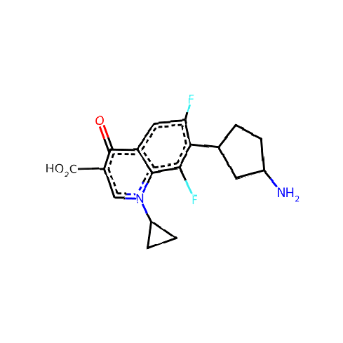 NC1CCC(c2c(F)cc3c(=O)c(C(=O)O)cn(C4CC4)c3c2F)C1